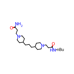 CCCCNC(=O)CCN1CCC(CCCC2CCN(CCC(N)=O)CC2)CC1